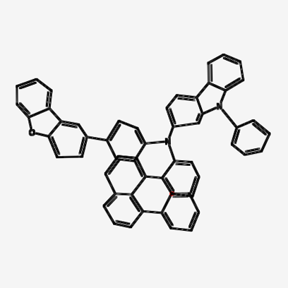 c1ccc(-c2cccc3cccc(-c4ccccc4N(c4ccc(-c5ccc6oc7ccccc7c6c5)cc4)c4ccc5c6ccccc6n(-c6ccccc6)c5c4)c23)cc1